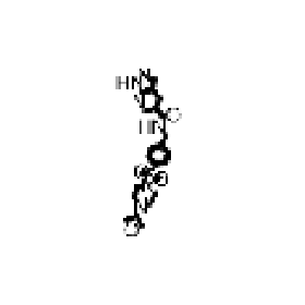 O=C(NCc1ccc(S(=O)(=O)N2CCN(C3COC3)CC2)cc1)C1C=Nc2[nH]ncc2C1